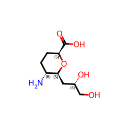 N[C@@H]1CC[C@@H](C(=O)O)O[C@H]1C[C@H](O)CO